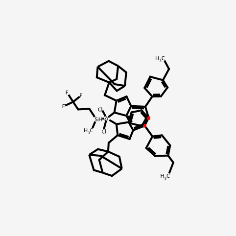 CCc1ccc(-c2cccc3c2C=C(CC24CC5CC(CC(C5)C2)C4)[CH]3[Zr]([Cl])([Cl])([CH]2C(CC34CC5CC(CC(C5)C3)C4)=Cc3c(-c4ccc(CC)cc4)cccc32)[SiH](C)CCC(F)(F)F)cc1